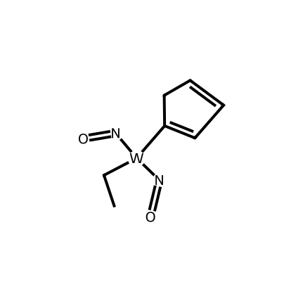 C[CH2][W]([N]=O)([N]=O)[C]1=CC=CC1